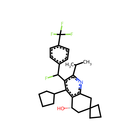 CC(C)c1nc2c(c(C3CCCC3)c1C(F)c1ccc(C(F)(F)F)cc1)[C@@H](O)CC1(CCC1)C2